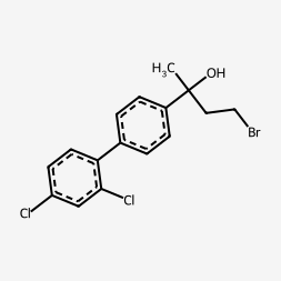 CC(O)(CCBr)c1ccc(-c2ccc(Cl)cc2Cl)cc1